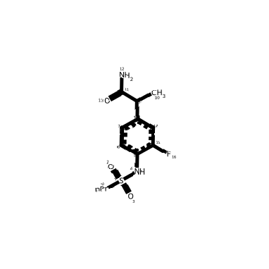 CCCS(=O)(=O)Nc1ccc(C(C)C(N)=O)cc1F